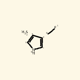 CF.S.c1cc[nH]c1